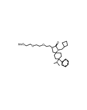 COCCOCCOCCN1CC2(CCC(c3ccccc3)(N(C)C)CC2)N(CC2CCC2)C1=O